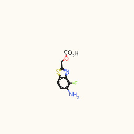 Nc1ccc2sc(COC(=O)O)nc2c1F